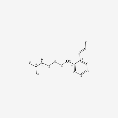 CC=Cc1ccccc1OCCCNC(C)C